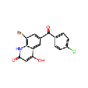 O=C(c1ccc(Cl)cc1)c1cc(Br)c2[nH]c(=O)cc(O)c2c1